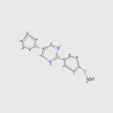 CCCCCCCCOc1ccc(-c2ncc(-c3ccccc3)cn2)cc1